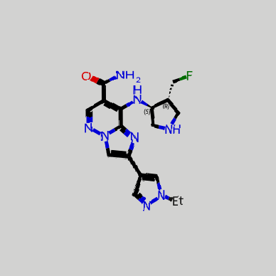 CCn1cc(-c2cn3ncc(C(N)=O)c(N[C@@H]4CNC[C@H]4CF)c3n2)cn1